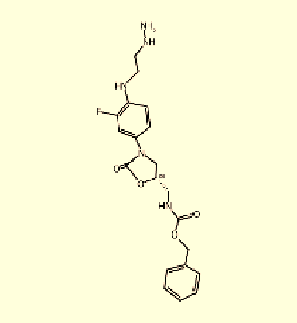 NNCCNc1ccc(N2C[C@H](CNC(=O)OCc3ccccc3)OC2=O)cc1F